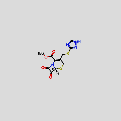 CC(C)(C)OC(=O)C1=C(CSc2nc[nH]n2)CS[C@@H]2C(=O)C(=O)N12